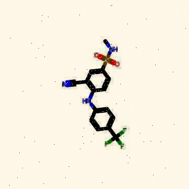 CNS(=O)(=O)c1ccc(Nc2ccc(C(F)(F)F)cc2)c(C#N)c1